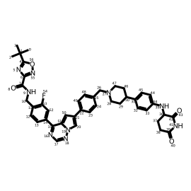 CC(C)(C)c1nc(C(=O)NCc2ccc(-c3ncnn4cc(-c5ccc(CN6CCC(c7ccc(NC8CCC(=O)NC8=O)cc7)CC6)cc5)cc34)cc2F)no1